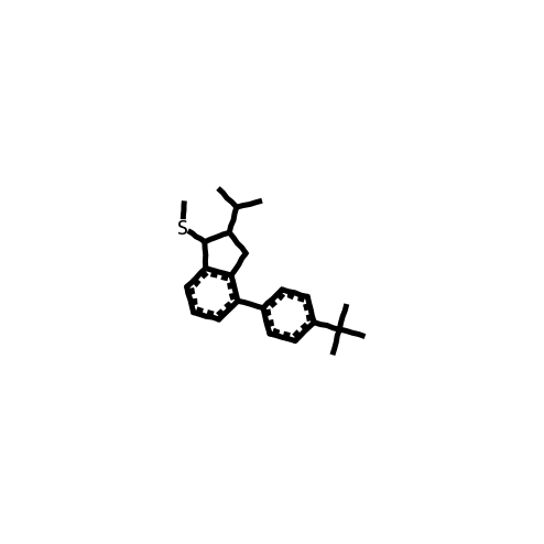 CSC1c2cccc(-c3ccc(C(C)(C)C)cc3)c2CC1C(C)C